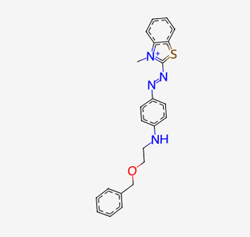 C[n+]1c(/N=N/c2ccc(NCCOCc3ccccc3)cc2)sc2ccccc21